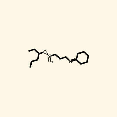 CCCC(CC)O[SiH2]CCCN=C1CCCCC1